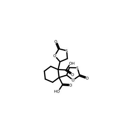 O=C1OC(C2(C(=O)O)CCCCC2(C(=O)O)C2CSC(=O)O2)CS1